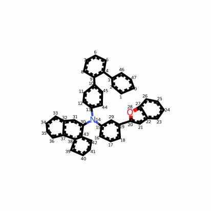 c1ccc(-c2ccccc2-c2ccc(N(c3cccc(-c4cc5ccccc5o4)c3)c3cc4ccccc4c4ccccc34)cc2)cc1